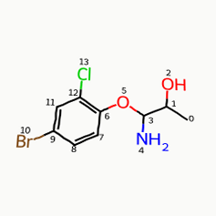 CC(O)C(N)Oc1ccc(Br)cc1Cl